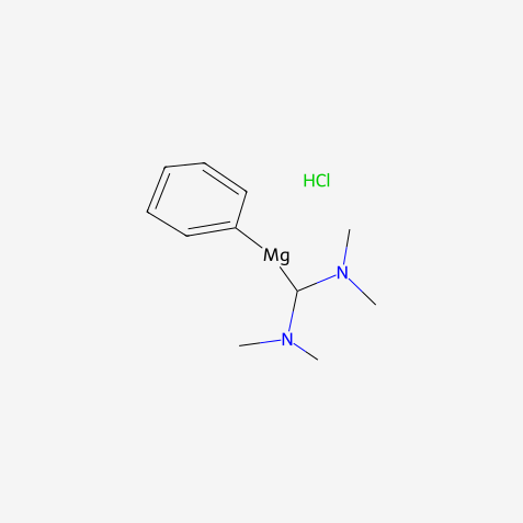 CN(C)[CH]([Mg][c]1ccccc1)N(C)C.Cl